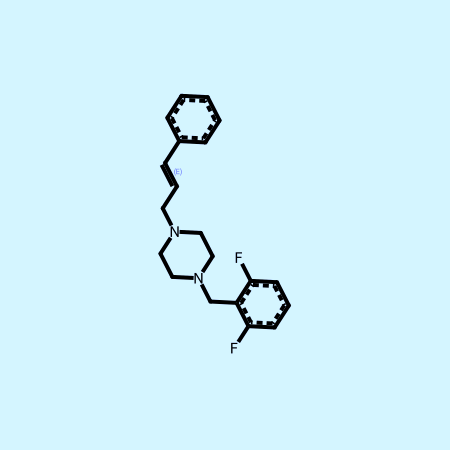 Fc1cccc(F)c1CN1CCN(C/C=C/c2ccccc2)CC1